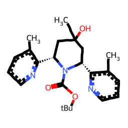 Cc1cccnc1[C@H]1CC(C)(O)C[C@@H](c2ncccc2C)N1C(=O)OC(C)(C)C